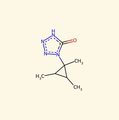 CC1C(C)C1(C)n1nn[nH]c1=O